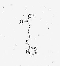 O=C(O)CCCSc1nc[c]s1